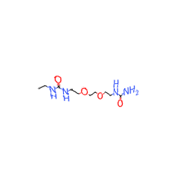 CCNC(=O)NCCOCCOCCNC(N)=O